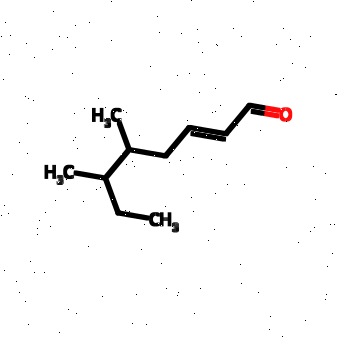 CCC(C)C(C)CC=CC=O